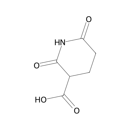 O=C1CCC(C(=O)O)C(=O)N1